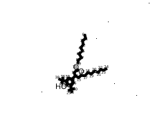 CCCCCCCCCCOC(=O)CC(CCCCCCCCCC)c1cc(C(C)(C)C)c(O)c(C(C)(C)C)c1